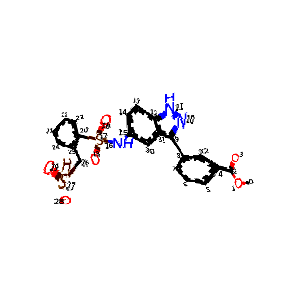 COC(=O)c1cccc(-c2n[nH]c3ccc(NS(=O)(=O)c4ccccc4C[SH](=O)=O)cc23)c1